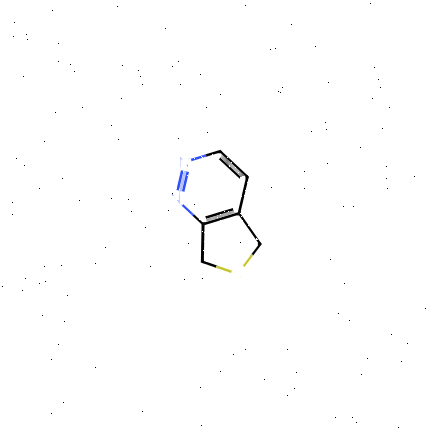 c1cc2c(nn1)CSC2